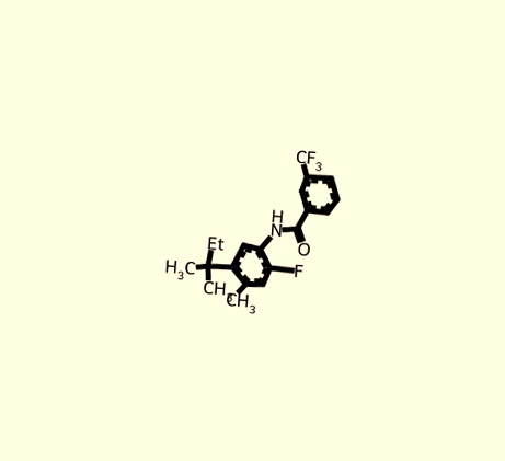 CCC(C)(C)c1cc(NC(=O)c2cccc(C(F)(F)F)c2)c(F)cc1C